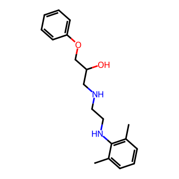 Cc1cccc(C)c1NCCNCC(O)COc1ccccc1